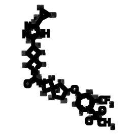 CS(=O)(=O)c1ccc(O[C@H]2CCC3(C2)CN(C(=O)N2CC4(CC(c5nnc(C6CC6)[nH]5)C4)C2)C3)cc1C(F)(F)F